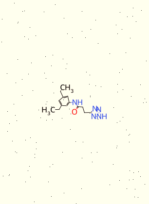 CCc1cc(CC)cc(NC(=O)CCc2nn[nH]n2)c1